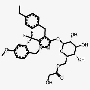 CCc1ccc(Cc2c(O[C@@H]3O[C@H](COC(=O)CO)[C@@H](O)[C@H](O)[C@H]3O)nn(Cc3ccc(OC)cc3)c2C(F)(F)F)cc1